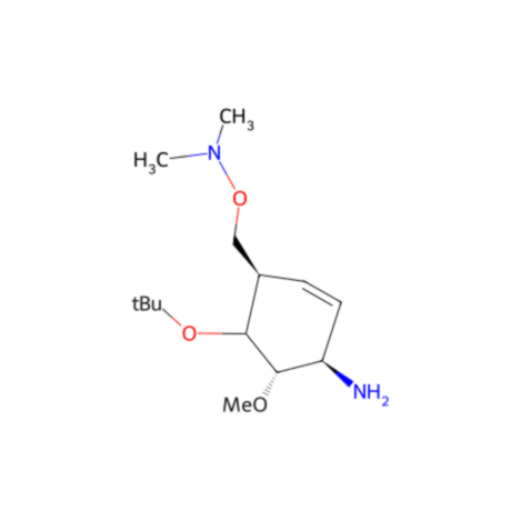 CO[C@@H]1C(OC(C)(C)C)[C@@H](CON(C)C)C=C[C@H]1N